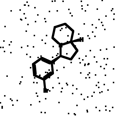 Brc1cccc([C@@H]2CC[C@H]3CCCCN32)c1